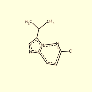 CC(C)c1cnc2ccc(Cl)nn12